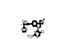 CN1CC2(C1)CN(c1nc(N)ncc1Cl)c1cc(C#C[C@](C)(O)c3nccs3)ccc12